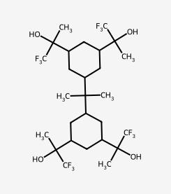 CC(C)(C1CC(C(C)(O)C(F)(F)F)CC(C(C)(O)C(F)(F)F)C1)C1CC(C(C)(O)C(F)(F)F)CC(C(C)(O)C(F)(F)F)C1